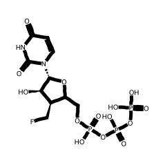 O=c1ccn([C@@H]2OC(COP(=O)(O)OP(=O)(O)OP(=O)(O)O)[C@@H](CF)[C@H]2O)c(=O)[nH]1